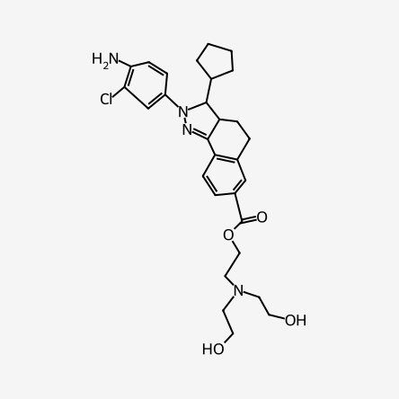 Nc1ccc(N2N=C3c4ccc(C(=O)OCCN(CCO)CCO)cc4CCC3C2C2CCCC2)cc1Cl